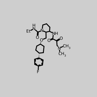 CCNC(=O)N1CCCC(NC(=O)C(=O)CN(C)C)C1CO[C@H]1CC[C@@H](c2ccc(F)cc2)CC1